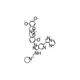 COc1ccc(CN(Cc2ccc(-n3nc(NCCN4CCCCC4)c4cnc(-c5cnn6cccnc56)cc43)c(OC)c2)S(C)(=O)=O)c(OC)c1